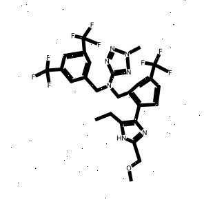 CCc1[nH]c(COC)nc1-c1ccc(C(F)(F)F)cc1CN(Cc1cc(C(F)(F)F)cc(C(F)(F)F)c1)c1nnn(C)n1